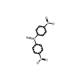 O=S([O-])c1ccc(Oc2ccc(S(=O)[O-])cc2)cc1.[Na+].[Na+]